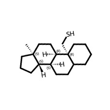 C[C@@]12CCC[C@H]1[C@@H]1CCC3CCCC[C@]3(CS)[C@@H]1CC2